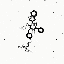 CN(C)CCOc1ccc(CC(NC(=O)c2ccccc2)C(=O)NC(CO)Cc2ccccc2)cc1.Cl